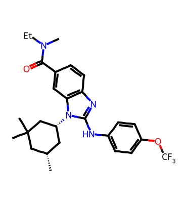 CCN(C)C(=O)c1ccc2nc(Nc3ccc(OC(F)(F)F)cc3)n([C@@H]3C[C@H](C)CC(C)(C)C3)c2c1